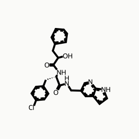 O=C(N[C@@H](Cc1ccc(Cl)cc1)C(=O)NCc1cnc2[nH]ccc2c1)C(O)Cc1ccccc1